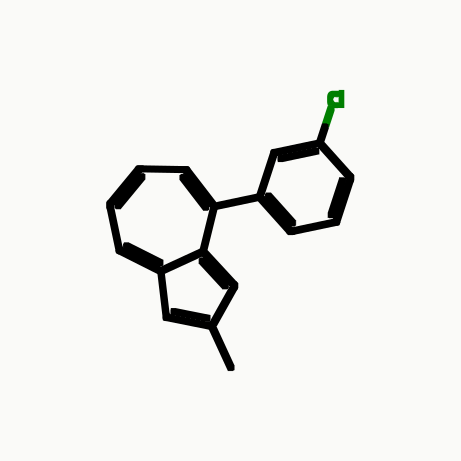 Cc1cc2ccccc(-c3cccc(Cl)c3)c-2c1